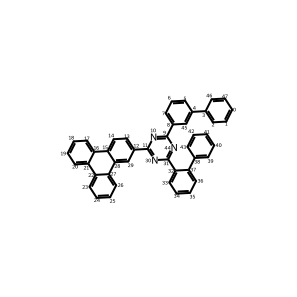 c1ccc(-c2cccc(-c3nc(-c4ccc5c6ccccc6c6ccccc6c5c4)nc(-c4ccccc4-c4ccccc4)n3)c2)cc1